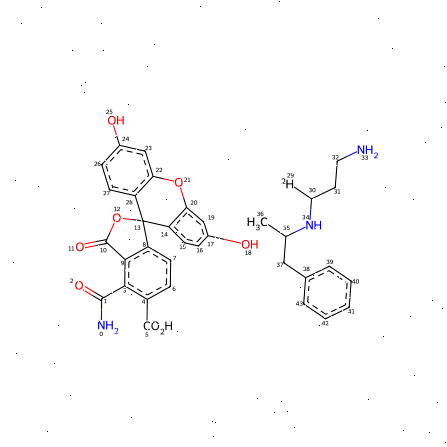 NC(=O)c1c(C(=O)O)ccc2c1C(=O)OC21c2ccc(O)cc2Oc2cc(O)ccc21.[2H]C(CCN)NC(C)Cc1ccccc1